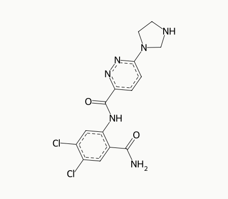 NC(=O)c1cc(Cl)c(Cl)cc1NC(=O)c1ccc(N2CCNC2)nn1